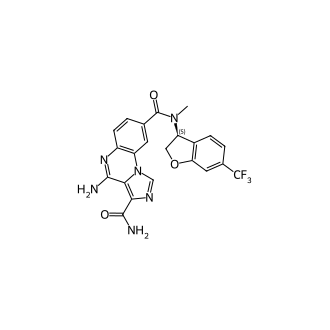 CN(C(=O)c1ccc2nc(N)c3c(C(N)=O)ncn3c2c1)[C@@H]1COc2cc(C(F)(F)F)ccc21